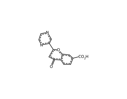 O=C(O)c1ccc2c(=O)cc(-c3cnccn3)oc2c1